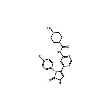 N[C@H]1CC[C@@H](C(=O)Nc2cc(-c3c[nH]c(=O)n3-c3ccc(F)cc3)ccn2)CC1